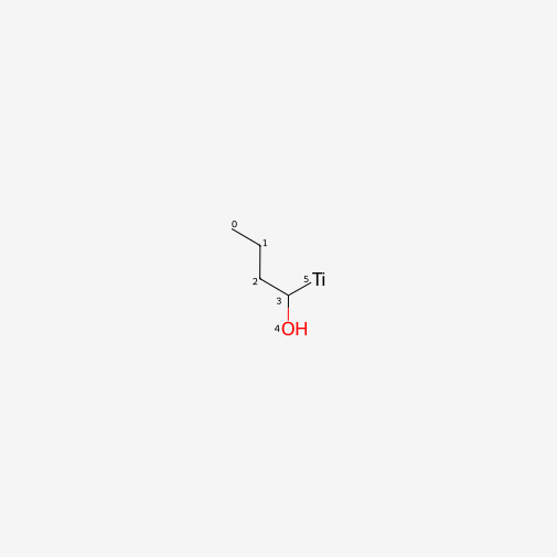 CCC[CH](O)[Ti]